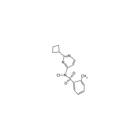 Cc1ccccc1S(=O)(=O)N(Cl)c1ccnc(C2CCC2)n1